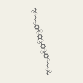 C=CC(=O)OCCCCOc1ccc(C(=O)Oc2ccc(C(=O)Oc3ccc(OC(=O)c4ccc(OCCCCOC(=O)C=C)cc4)cc3C)cc2)cc1